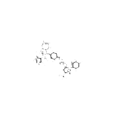 Cc1ccc(-n2nc(C(C)(C)C)cc2NC(=O)Nc2ccc(C(C3CCNCC3)S(=O)(=O)c3c(C)noc3C)cc2)cc1